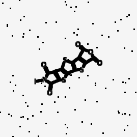 O=c1oc(=O)c2c1sc1c3sc4c(=O)n(I)c(=O)c4c3sc12